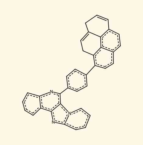 C1=Cc2ccc3ccc(-c4ccc(-c5nc6ccccc6c6nc7ccccn7c56)cc4)c4c3c2C(=CC4)C1